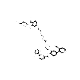 COc1cccc(F)c1-c1nccc(C(=O)Nc2ccc(-c3cnccc3C#N)cc2N2CCN(CC(=O)NCCCCNc3ccc4c(c3)C(O)N(C3CCC(=O)NC3=O)C4=O)CC2)n1